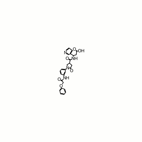 O=C(O)CC(NC(=O)C1CC(=O)N(c2cccc(NC(=O)COc3ccccc3)c2)C1)c1cccnc1